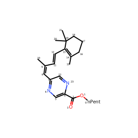 CCCCCOC(=O)c1cnc(C=C(C)C=CC2=C(C)CCCC2(C)C)cn1